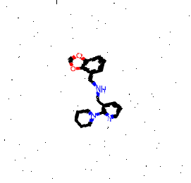 c1cnc(N2CCCCC2)c(CNCc2cccc3c2OCO3)c1